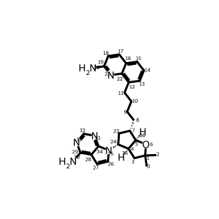 CC1(C)C[C@@H]2[C@H](O1)[C@@H](CCCCc1cccc3ccc(N)nc13)C[C@H]2n1ccc2c(N)ncnc21